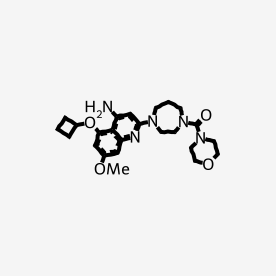 COc1cc(OC2CCC2)c2c(N)cc(N3CCCN(C(=O)N4CCOCC4)CC3)nc2c1